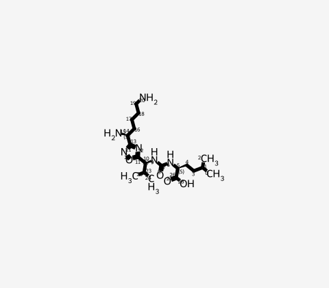 CC(C)CC[C@H](NC(=O)N[C@H](c1nc([C@@H](N)CCCCN)no1)C(C)C)C(=O)O